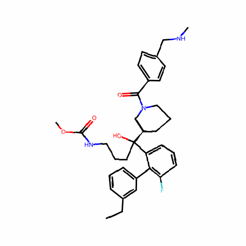 CCc1cccc(-c2c(F)cccc2C(O)(CCCNC(=O)OC)[C@@H]2CCCN(C(=O)c3ccc(CNC)cc3)C2)c1